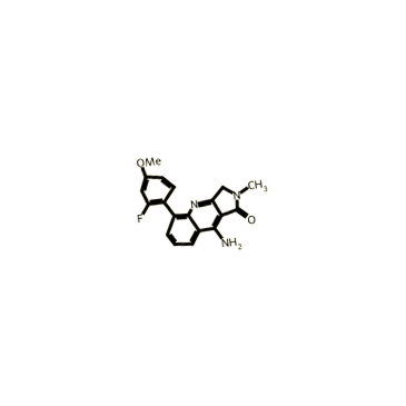 COc1ccc(-c2cccc3c(N)c4c(nc23)CN(C)C4=O)c(F)c1